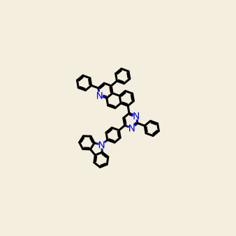 c1ccc(-c2cc(-c3ccccc3)c3c(ccc4c(-c5cc(-c6ccc(-n7c8ccccc8c8ccccc87)cc6)nc(-c6ccccc6)n5)cccc43)n2)cc1